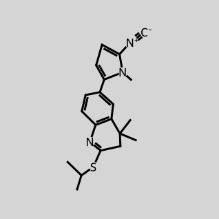 [C-]#[N+]c1ccc(-c2ccc3c(c2)C(C)(C)CC(SC(C)C)=N3)n1C